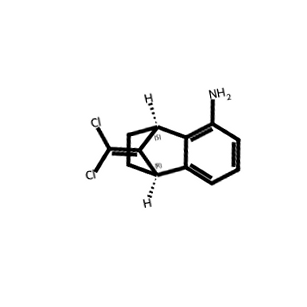 Nc1cccc2c1[C@@H]1CC[C@H]2C1=C(Cl)Cl